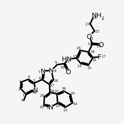 Cc1cccc(-c2nn(CC(=O)Nc3ccc(F)c(C(=O)OCCN)c3)cc2-c2ccnc3ccccc23)n1